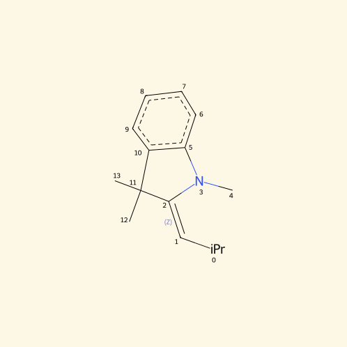 CC(C)/C=C1\N(C)c2ccccc2C1(C)C